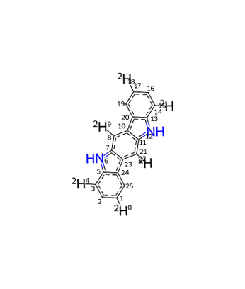 [2H]c1cc([2H])c2[nH]c3c([2H])c4c([nH]c5c([2H])cc([2H])cc54)c([2H])c3c2c1